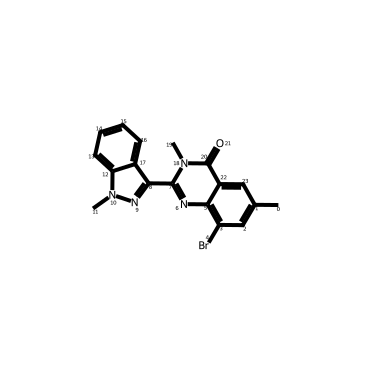 Cc1cc(Br)c2nc(-c3nn(C)c4ccccc34)n(C)c(=O)c2c1